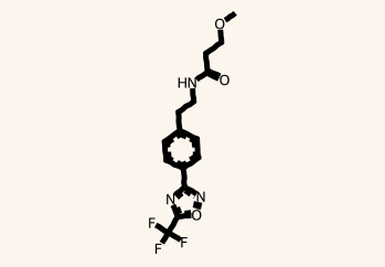 COCCC(=O)NCCc1ccc(-c2noc(C(F)(F)F)n2)cc1